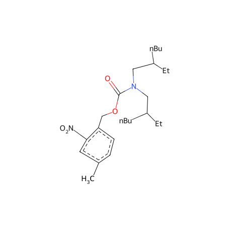 CCCCC(CC)CN(CC(CC)CCCC)C(=O)OCc1ccc(C)cc1[N+](=O)[O-]